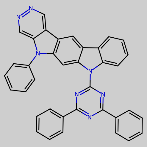 c1ccc(-c2nc(-c3ccccc3)nc(-n3c4ccccc4c4cc5c6cnncc6n(-c6ccccc6)c5cc43)n2)cc1